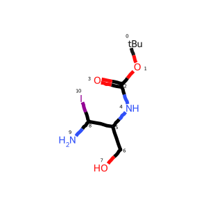 CC(C)(C)OC(=O)NC(CO)C(N)I